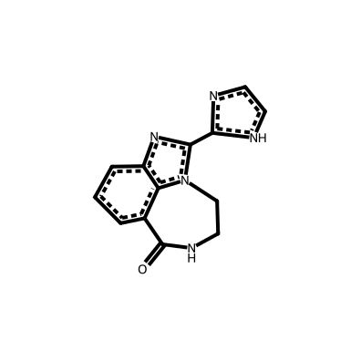 O=C1NCCn2c(-c3ncc[nH]3)nc3cccc1c32